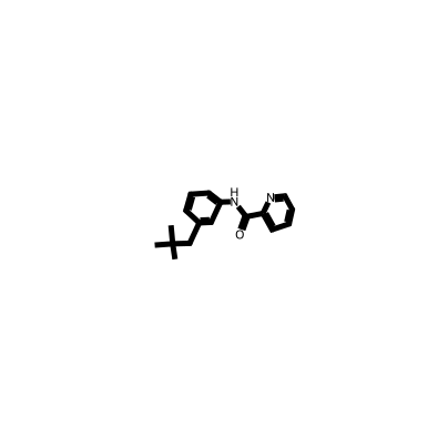 CC(C)(C)Cc1cccc(NC(=O)c2ccccn2)c1